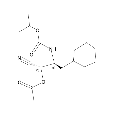 CC(=O)O[C@H](C#N)[C@H](CC1CCCCC1)NC(=O)OC(C)C